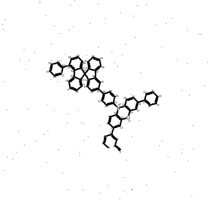 C=C/C=C(\C=C/C)c1ccc2c(c1)Oc1cc(-c3ccccc3)ccc1N2c1ccc(-c2ccc3c(c2)-c2ccccc2C32c3ccccc3-c3c(-c4ccccc4)cccc32)cc1